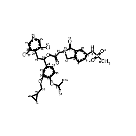 CS(=O)(=O)Nc1ccc2c(c1)C(=O)N(CC(=O)OC(Cc1c(Cl)cncc1Cl)c1ccc(OC(F)F)c(OCC3CC3)c1)C2